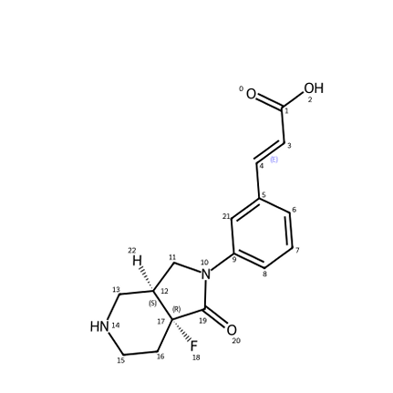 O=C(O)/C=C/c1cccc(N2C[C@@H]3CNCC[C@]3(F)C2=O)c1